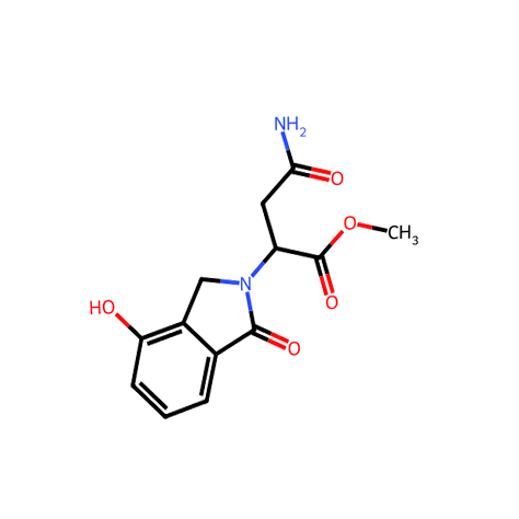 COC(=O)C(CC(N)=O)N1Cc2c(O)cccc2C1=O